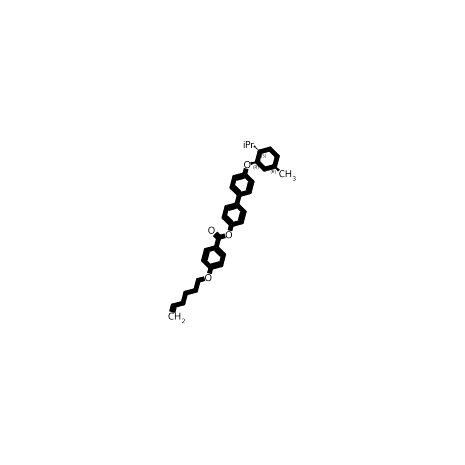 C=CCCCCOc1ccc(C(=O)Oc2ccc(-c3ccc(O[C@@H]4C[C@H](C)CC[C@H]4C(C)C)cc3)cc2)cc1